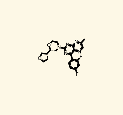 Cc1cnc2c(-c3ccc(F)cc3F)nc(N3CCO[C@@H]([C@@H]4CCOC4)C3)nc2n1